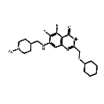 CC(=O)N1CCC(CNc2cc3nc(CSC4CCCCC4)[nH]c(=O)c3c(F)c2F)CC1